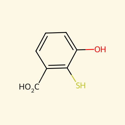 O=C(O)c1cccc(O)c1S